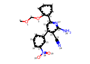 COCOc1ccccc1-c1cc(-c2cccc([N+](=O)[O-])c2)c(C#N)c(N)n1